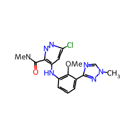 CNC(=O)c1nnc(Cl)cc1Nc1cccc(-c2ncn(C)n2)c1OC